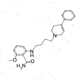 COc1cccc(NCCCCN2CC=C(c3ccccc3)CC2)c1C(N)=O